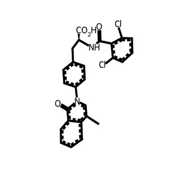 Cc1cn(-c2ccc(C[C@H](NC(=O)c3c(Cl)cccc3Cl)C(=O)O)cc2)c(=O)c2ccccc12